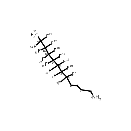 NCCCCC(F)(F)C(F)(F)C(F)(F)C(F)(F)C(F)(F)C(F)(F)C(F)(F)C(F)(F)F